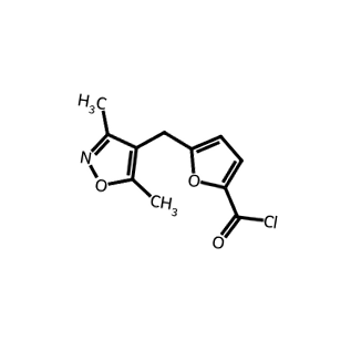 Cc1noc(C)c1Cc1ccc(C(=O)Cl)o1